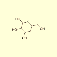 OCC1CC(O)C(O)C(O)S1